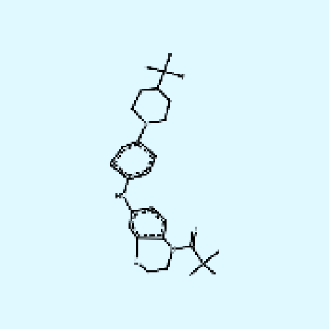 CC(C)(C)C(=O)N1CCOc2cc(Nc3ccc(N4CCC(C(F)(F)F)CC4)cc3)ccc21